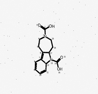 O=C(O)N1CCC2=C3C=CC=CC3N(C(=O)O)C2CC1